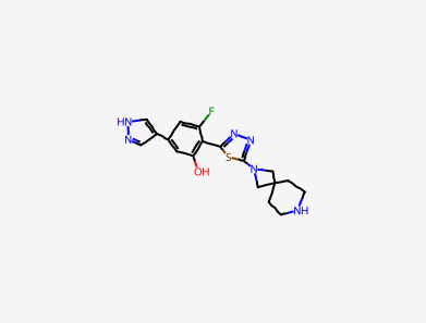 Oc1cc(-c2cn[nH]c2)cc(F)c1-c1nnc(N2CC3(CCNCC3)C2)s1